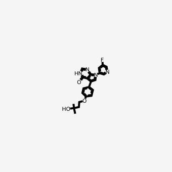 CC(C)(O)CCOc1ccc(-c2cn(-c3cncc(F)c3)c3nc[nH]c(=O)c23)cc1